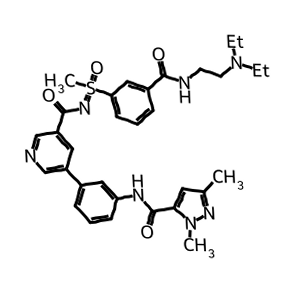 CCN(CC)CCNC(=O)c1cccc(S(C)(=O)=NC(=O)c2cncc(-c3cccc(NC(=O)c4cc(C)nn4C)c3)c2)c1